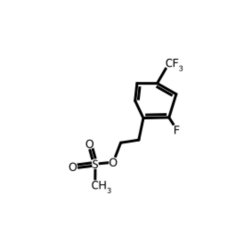 CS(=O)(=O)OCCc1ccc(C(F)(F)F)cc1F